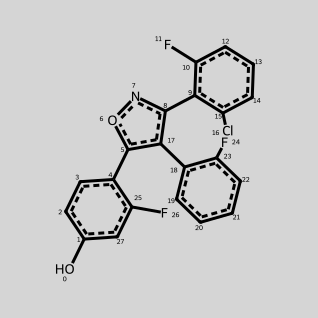 Oc1ccc(-c2onc(-c3c(F)cccc3Cl)c2-c2ccccc2F)c(F)c1